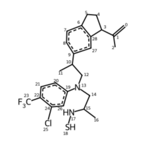 C=C(C)C1CCc2ccc(C(C)CN(CC(C)NS)c3ccc(C(F)(F)F)c(Cl)c3)cc21